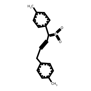 Cc1ccc(CC#CC(c2ccc(C)cc2)=S(=O)=O)cc1